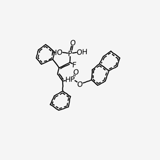 O=[PH](Oc1ccc2ccccc2c1)C(=CC(=C(F)P(=O)(O)O)c1ccccc1)c1ccccc1